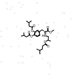 COC(=O)[C@H](Cc1ccc(OC(=O)CC(C)C)c(OC(=O)CC(C)C)c1)NCC(C)OC(=O)CCC(C)C